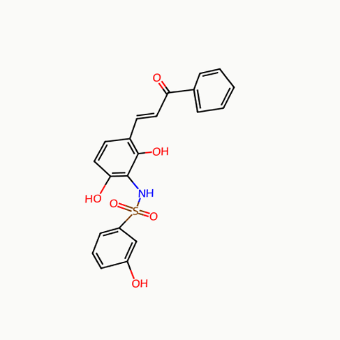 O=C(/C=C/c1ccc(O)c(NS(=O)(=O)c2cccc(O)c2)c1O)c1ccccc1